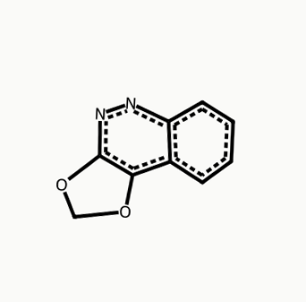 c1ccc2c3c(nnc2c1)OCO3